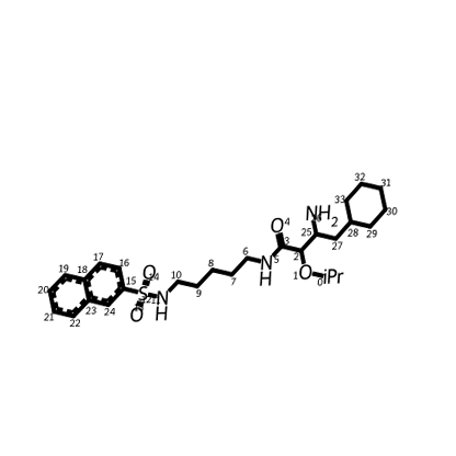 CC(C)OC(C(=O)NCCCCCNS(=O)(=O)c1ccc2ccccc2c1)C(N)CC1CCCCC1